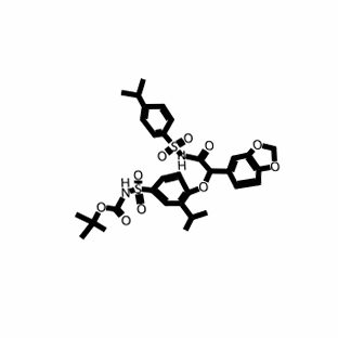 CC(C)c1ccc(S(=O)(=O)NC(=O)C(Oc2ccc(S(=O)(=O)NC(=O)OC(C)(C)C)cc2C(C)C)c2ccc3c(c2)OCO3)cc1